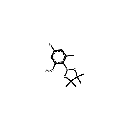 COc1cc(F)cc(C)c1B1OC(C)(C)C(C)(C)O1